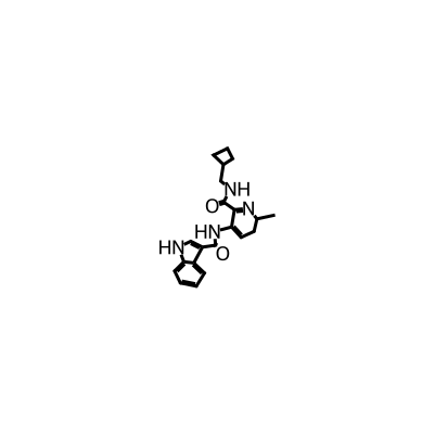 CC1CC=C(NC(=O)c2c[nH]c3ccccc23)C(C(=O)NCC2CCC2)=N1